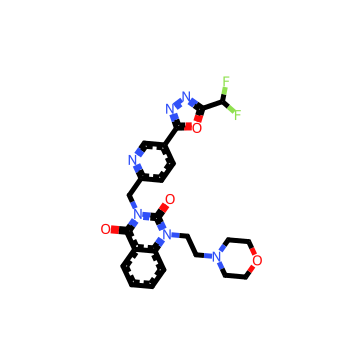 O=c1c2ccccc2n(CCN2CCOCC2)c(=O)n1Cc1ccc(-c2nnc(C(F)F)o2)cn1